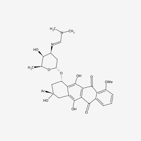 COc1cccc2c1C(=O)c1c(O)c3c(c(O)c1C2=O)C[C@@](O)(C(C)=O)C[C@@H]3O[C@H]1C[C@H](N=CN(C)C)[C@H](O)[C@H](C)O1